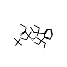 CCC1(CC)c2ccccc2C(CC)(CC)N1OC(C)(COC(C)(C)C)C(=O)OC